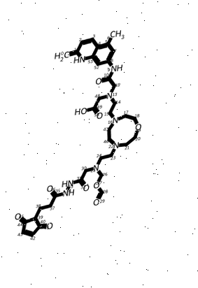 C=C1C=Cc2c(C)cc(NC(=O)CN(CCN3CCOCCN(CCN(COC=O)CC(=O)NNC(=O)CCC4C(=O)C=CC4=O)CC3)CC(=O)O)cc2N1